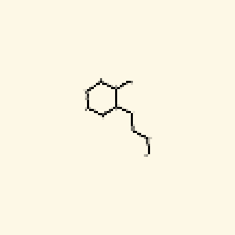 CCCCC1CCCCC1C